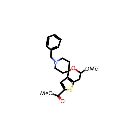 COC(=O)c1cc2c(s1)CC(OC)OC21CCN(Cc2ccccc2)CC1